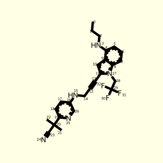 CCCNc1cccc2c1cc(C#CCNc1ccc(C(C)(C)C#N)nc1)n2CC(F)(F)F